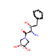 N[C@@H](C(=O)N1C[C@@H](O)[C@@H](O)C1)[C@@H](O)Cc1ccccc1